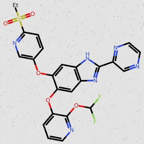 CCS(=O)(=O)c1ccc(Oc2cc3[nH]c(-c4cnccn4)nc3cc2Oc2cccnc2OC(F)F)cn1